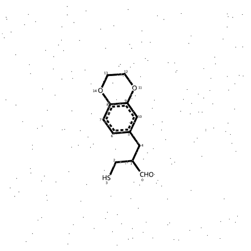 O=[C]C(CS)Cc1ccc2c(c1)OCCO2